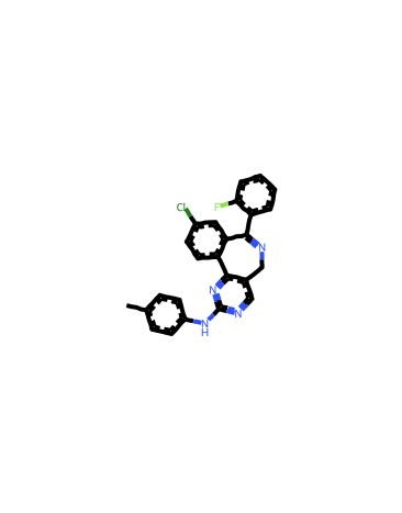 Cc1ccc(Nc2ncc3c(n2)-c2ccc(Cl)cc2C(c2ccccc2F)=NC3)cc1